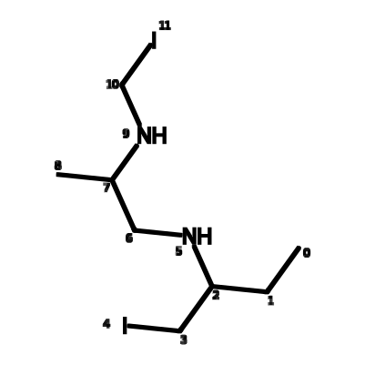 CCC(CI)NCC(C)NCI